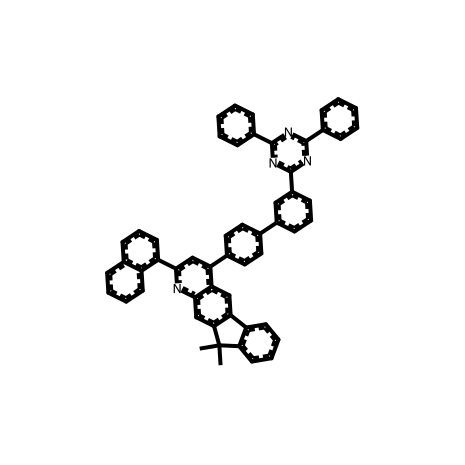 CC1(C)c2ccccc2-c2cc3c(-c4ccc(-c5cccc(-c6nc(-c7ccccc7)nc(-c7ccccc7)n6)c5)cc4)cc(-c4cccc5ccccc45)nc3cc21